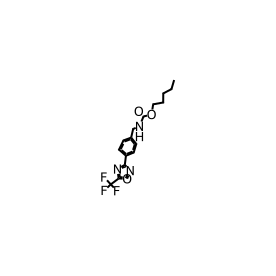 CCCCCOC(=O)NCc1ccc(-c2noc(C(F)(F)F)n2)cc1